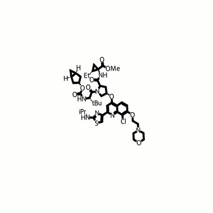 CC[C@@H]1C[C@]1(NC(=O)C1C[C@@H](Oc2cc(-c3csc(NC(C)C)n3)nc3c(Cl)c(OCCN4CCOCC4)ccc23)CN1C(=O)[C@@H](NC(=O)O[C@@H]1C[C@@H]2C[C@@H]2C1)C(C)(C)C)C(=O)OC